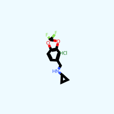 Cl.FC1(F)Oc2ccc(CNC3CC3)cc2O1